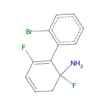 NC1(F)CC=CC(F)=C1c1ccccc1Br